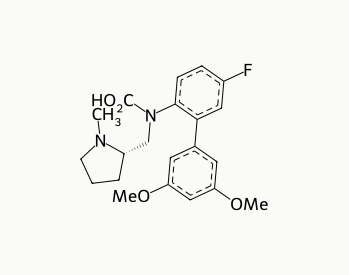 COc1cc(OC)cc(-c2cc(F)ccc2N(C[C@@H]2CCCN2C)C(=O)O)c1